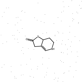 O=C1CC2=CNCCC2S1